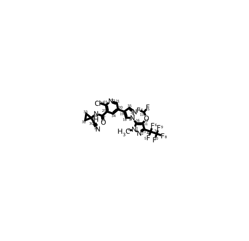 Cn1nc(C(F)(F)C(F)(F)F)c(OC(F)F)c1-n1cc(-c2cnc(Cl)c(C(=O)NC3(C#N)CC3)c2)cn1